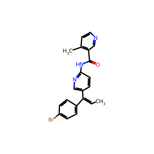 CC=C(c1ccc(Br)cc1)c1ccc(NC(=O)c2cnccc2C)nc1